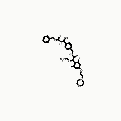 CCOC(C(=O)NCc1ccc(C(=N)NC(=O)OCc2ccccc2)cc1)c1c(F)cc(OCCN2CCOCC2)cc1F